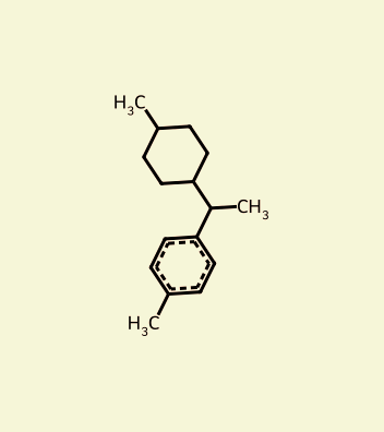 Cc1ccc(C(C)C2CCC(C)CC2)cc1